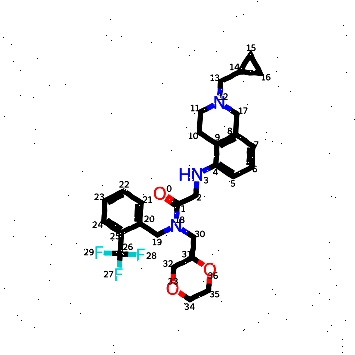 O=C(CNc1cccc2c1CCN(CC1CC1)C2)N(Cc1ccccc1C(F)(F)F)CC1COCCO1